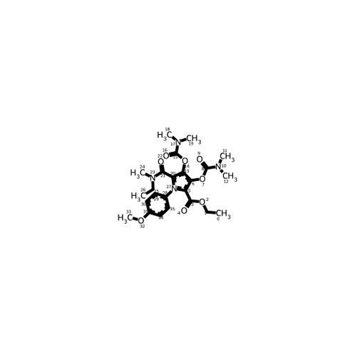 CCOC(=O)c1c(OC(=O)N(C)C)c(OC(=O)N(C)C)c(C(=O)N(C)CC)n1-c1ccc(OC)cc1